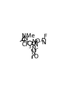 C=CC(=O)N1CCN(c2nc(OC[C@@H]3C[C@@H](F)CN3C)nc3c2C[C@H](C)[C@@H](c2nc(NC)cc(C)c2C(F)(F)F)C3)[C@@H](C)C1